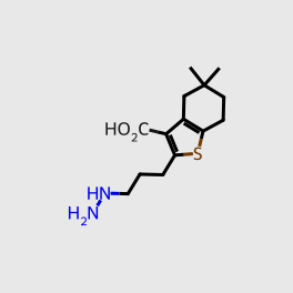 CC1(C)CCc2sc(CCCNN)c(C(=O)O)c2C1